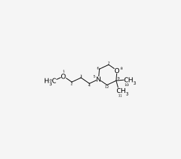 COCCCN1CCOC(C)(C)C1